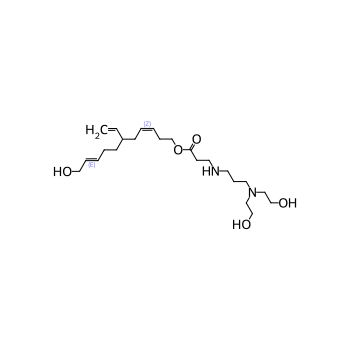 C=CC(C/C=C\CCOC(=O)CCNCCCN(CCO)CCO)CC/C=C/CO